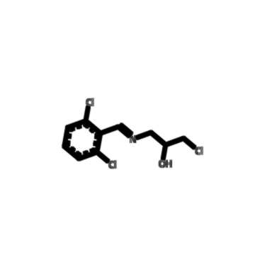 OC(CCl)CN=Cc1c(Cl)cccc1Cl